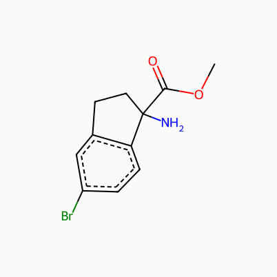 COC(=O)C1(N)CCc2cc(Br)ccc21